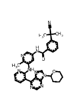 Cc1ncc(NC(=O)c2cccc(C(C)(C)C#N)c2)cc1Nc1ncccc1-c1ncnc2c1ncn2C1CCCCO1